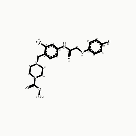 CC(C)(C)OC(=O)N1CCN(Cc2ccc(NC(=O)COc3ccc(Br)cc3)cc2C(F)(F)F)CC1